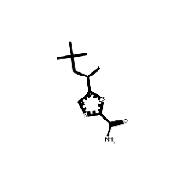 CC(CC(C)(C)C)c1cnc(C(N)=O)s1